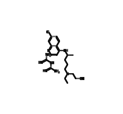 CCN(CCO)CCCC(C)Nc1ccnc2cc(Cl)ccc12.N=C(N)NC(=N)N